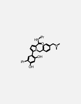 CC(C)NC(=O)c1ccc(-c2cc(C(C)C)c(O)cc2O)n1Cc1ccc(CN(C)C)cc1